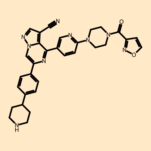 N#Cc1cnn2cc(-c3ccc(C4CCNCC4)cc3)nc(-c3ccc(N4CCN(C(=O)c5ccon5)CC4)nc3)c12